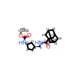 CC(C)(C)OC(=O)N[C@@H]1CC[C@H](CNC(=O)C23CC4CC(CC(C4)C2)C3)C1